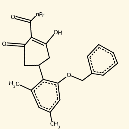 CCCC(=O)C1=C(O)CC(c2c(C)cc(C)cc2OCc2ccccc2)CC1=O